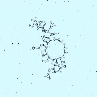 CC(C)C[C@@H]1NC(=O)[C@@H](N(C)C(=O)[C@@H](NC(=O)OC(C)(C)C)C2CC2)C/C=C\CCCCN(C)C(=O)[C@H](Cc2cc(Cl)cnc2OC2CC2)N(C)C1=O